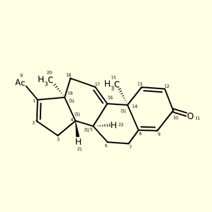 CC(=O)C1=CC[C@H]2[C@@H]3CCC4=CC(=O)C=C[C@]4(C)C3=CC[C@]12C